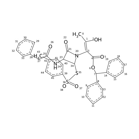 CC(O)=C(C(=O)OC(c1ccccc1)c1ccccc1)N1C(=O)C(NC(=O)Cc2ccccc2)C1SS(=O)(=O)c1ccc(C)cc1